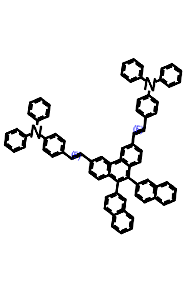 C(=C\c1ccc2c(-c3ccc4ccccc4c3)c(-c3ccc4ccccc4c3)c3ccc(/C=C/c4ccc(N(c5ccccc5)c5ccccc5)cc4)cc3c2c1)/c1ccc(N(c2ccccc2)c2ccccc2)cc1